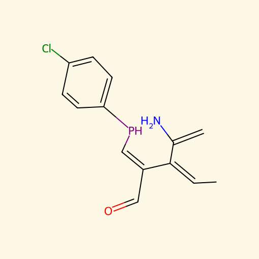 C=C(N)C(=C\C)/C(C=O)=C\Pc1ccc(Cl)cc1